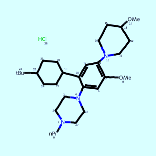 CCCN1CCN(c2cc(OC)c(N3CCC(OC)CC3)cc2C2CCC(C(C)(C)C)CC2)CC1.Cl